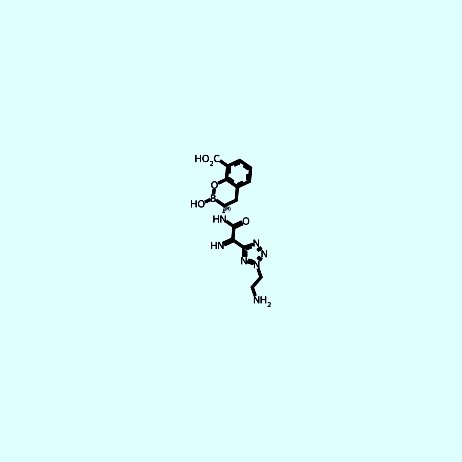 N=C(C(=O)N[C@H]1Cc2cccc(C(=O)O)c2OB1O)c1nnn(CCN)n1